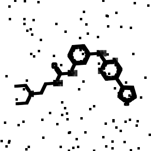 CCN(CC)CCNC(=O)Nc1cccc(Nc2ncc(-c3ccsc3)cn2)c1